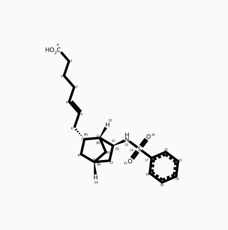 O=C(O)CCCC=CC[C@H]1C[C@@H]2C[C@H]1[C@@H](NS(=O)(=O)c1ccccc1)C2